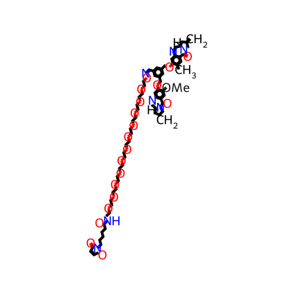 C=C1C[C@H]2C=Nc3cc(OCc4cc(/C=N\OCCOCCOCCOCCOCCOCCOCCOCCOCCOCCOCCOCCNC(=O)CCCCCN5C(=O)C=CC5=O)cc(COc5cc6c(cc5OC)C(=O)N5CC(=C)C[C@H]5C=N6)c4)c(C)cc3C(=O)N2C1